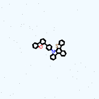 c1ccc2c(c1)oc1c(-c3ccc(-n4c5ccccc5c5c6ccccc6c6c7ccccc7sc6c54)cc3)cccc12